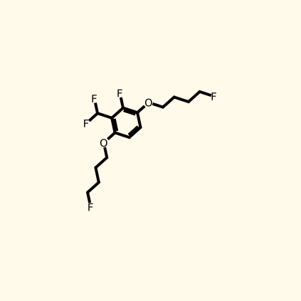 FCCCCOc1ccc(OCCCCF)c(C(F)F)c1F